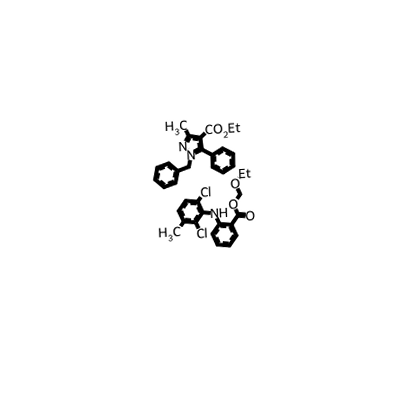 CCOC(=O)c1c(C)nn(Cc2ccccc2)c1-c1ccccc1.CCOCOC(=O)c1ccccc1Nc1c(Cl)ccc(C)c1Cl